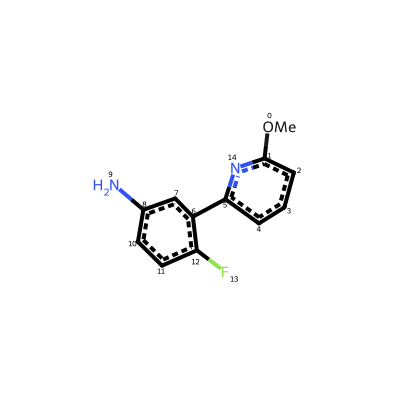 COc1cccc(-c2cc(N)ccc2F)n1